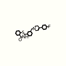 O=C1NC(c2cccc(CN3CC=C(c4ccc(F)cc4)CC3)c2)Sc2ccccc21